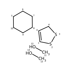 C1=CSSC1.C1CCCCC1.CO.CO